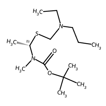 CCCN(CC)CS[C@@H](C)N(C)C(=O)OC(C)(C)C